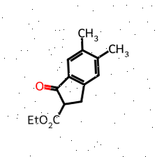 CCOC(=O)C1Cc2cc(C)c(C)cc2C1=O